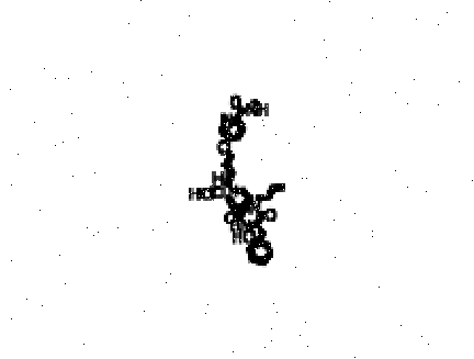 CCCCN1C(=O)[C@@H](CC2(O)CCCCC2)NC(=O)C12CCN(CCCCOc1ccc(C(=O)NC)nc1)CC2.Cl.Cl